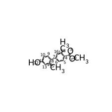 COC(=O)c1ccc(-c2ccc(O)cc2C)cc1C